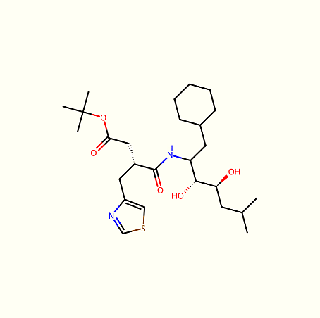 CC(C)C[C@H](O)[C@H](O)C(CC1CCCCC1)NC(=O)[C@@H](CC(=O)OC(C)(C)C)Cc1cscn1